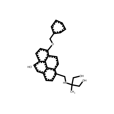 CC(CO)(CO)NCc1ccc2ccc3ccc(OCc4ccccc4)c4ccc1c2c34.Cl